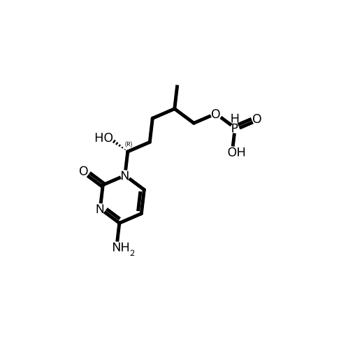 CC(CC[C@@H](O)n1ccc(N)nc1=O)CO[PH](=O)O